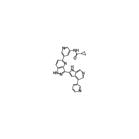 O=C(Nc1cncc(-c2ccc3[nH]nc(-c4cc5c(-c6cccnc6)cncc5[nH]4)c3n2)c1)C1CC1